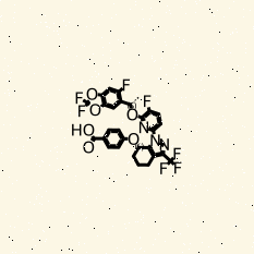 C[C@H](Oc1nc(-n2nc(C(F)(F)F)c3c2[C@@H](Oc2ccc(C(=O)O)cc2)CCC3)ccc1F)c1cc2c(cc1F)OC(F)(F)O2